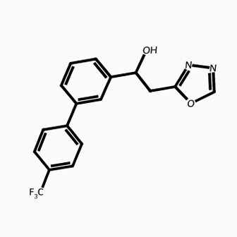 OC(Cc1nnco1)c1cccc(-c2ccc(C(F)(F)F)cc2)c1